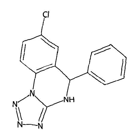 Clc1ccc2c(c1)C(c1ccccc1)Nc1nnnn1-2